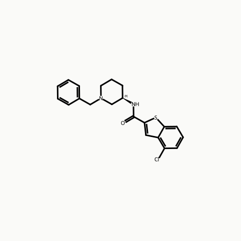 O=C(N[C@@H]1CCCN(Cc2ccccc2)C1)c1cc2c(Cl)cccc2s1